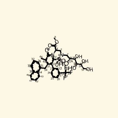 COC(=O)C1CN(C[C@H](O)[C@@H](O)[C@H](O)[C@H](O)CO)S(=O)(=O)c2c(-c3cccc(C(F)(F)F)c3)c(Cc3cccc4ccccc34)c(C)c(=O)n21